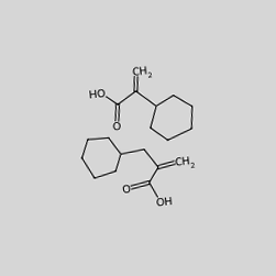 C=C(C(=O)O)C1CCCCC1.C=C(CC1CCCCC1)C(=O)O